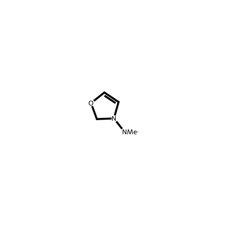 C[N]N1C=COC1